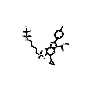 CNC(=O)c1c(-c2ccc(C)cc2)oc2nc(NS(=O)(=O)CCCCNS(=O)(=O)C(F)(F)F)c(C3CC3)cc12